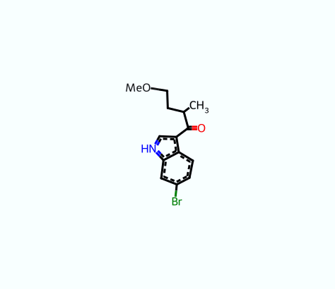 COCCC(C)C(=O)c1c[nH]c2cc(Br)ccc12